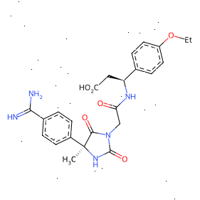 CCOc1ccc([C@H](CC(=O)O)NC(=O)CN2C(=O)N[C@@](C)(c3ccc(C(=N)N)cc3)C2=O)cc1